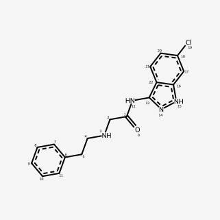 O=C(CNCCc1ccccc1)Nc1n[nH]c2cc(Cl)ccc12